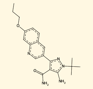 CCCOc1ccc2cc(-c3nn(C(C)(C)C)c(N)c3C(N)=O)cnc2c1